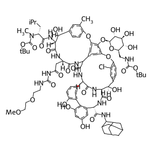 COCCOCCNC(=O)NC(=O)C[C@@H]1NC(=O)[C@H](NC(=O)[C@@H](CC(C)C)N(C)C(=O)OC(C)(C)C)[C@H](O)c2ccc(c(C)c2)Oc2cc3cc(c2O[C@@H]2O[C@H](CNC(=O)OC(C)(C)C)[C@@H](O)[C@H](O)[C@H]2O)Oc2ccc(cc2Cl)[C@@H](O)[C@@H]2NC(=O)[C@H](NC(=O)C3NC1=O)c1ccc(O)c(c1)-c1c(O)cc(O)cc1[C@@H](C(=O)NC1C3CC4CC(C3)CC1C4)NC2=O